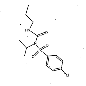 CCCNC(=O)N(C(C)C)S(=O)(=O)c1ccc(Cl)cc1